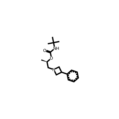 C[C@H](CN1CC(c2ccccc2)C1)OC(=O)NC(C)(C)C